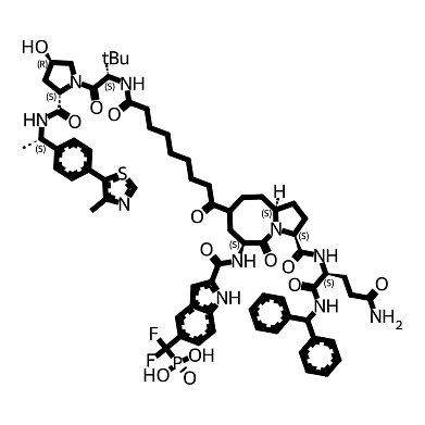 Cc1ncsc1-c1ccc([C@H](C)NC(=O)[C@@H]2C[C@@H](O)CN2C(=O)[C@@H](NC(=O)CCCCCCCC(=O)C2CC[C@H]3CC[C@@H](C(=O)N[C@@H](CCC(N)=O)C(=O)NC(c4ccccc4)c4ccccc4)N3C(=O)[C@@H](NC(=O)c3cc4cc(C(F)(F)P(=O)(O)O)ccc4[nH]3)C2)C(C)(C)C)cc1